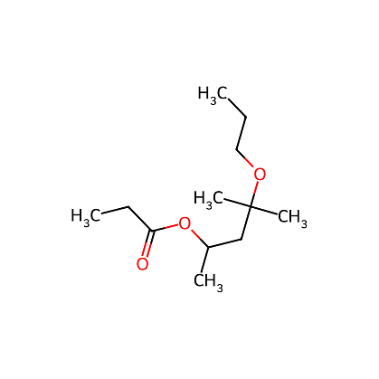 CCCOC(C)(C)CC(C)OC(=O)CC